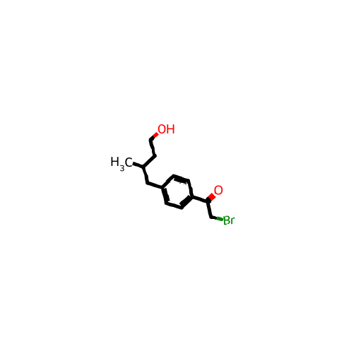 CC(CCO)Cc1ccc(C(=O)CBr)cc1